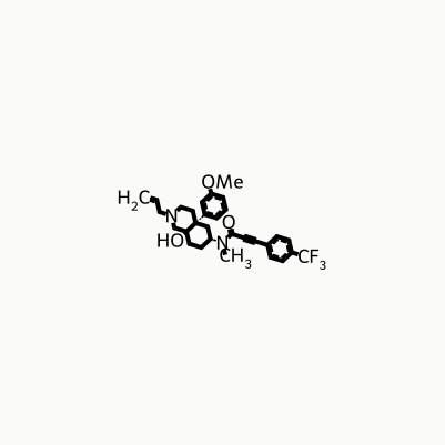 C=CCN1CC[C@@]2(c3cccc(OC)c3)C[C@H](N(C)C(=O)C#Cc3ccc(C(F)(F)F)cc3)CC[C@]2(O)C1